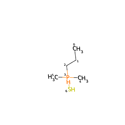 CCC[PH](C)(C)S